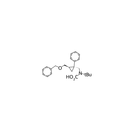 CC(C)(C)N(C[C@]1(c2ccccc2)C[C@H]1COCc1ccccc1)C(=O)O